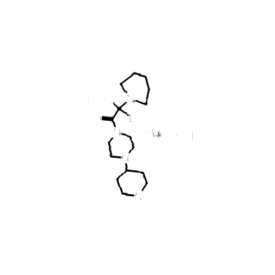 CCC(C(=O)O)(C(=O)N1CCN(C2CCNCC2)CC1)N1CCCCC1.Cl.Cl.Cl